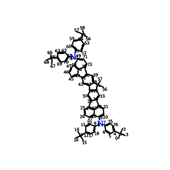 CC(C)(C)c1ccc(N(c2ccc(C(C)(C)C)cc2)c2ccc3c4c(cccc24)-c2cc4c(cc2-3)C(C)(C)c2cc3c(cc2-4)-c2cccc4c(N(c5ccc(C(C)(C)C)cc5)c5ccc(C(C)(C)C)cc5)ccc-3c24)cc1